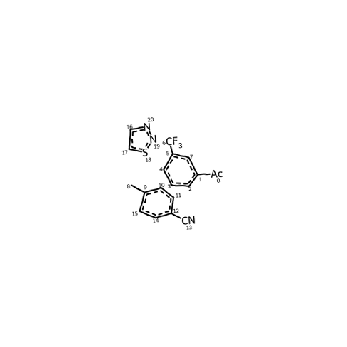 CC(=O)c1cccc(C(F)(F)F)c1.Cc1ccc(C#N)cc1.c1csnn1